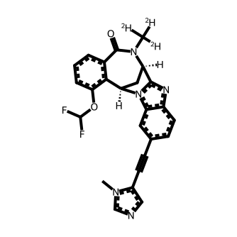 [2H]C([2H])([2H])N1C(=O)c2cccc(OC(F)F)c2[C@H]2C[C@@H]1c1nc3ccc(C#Cc4cncn4C)cc3n12